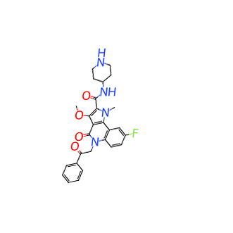 COc1c(C(=O)NC2CCNCC2)n(C)c2c1c(=O)n(CC(=O)c1ccccc1)c1ccc(F)cc21